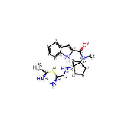 CCN(C(=O)c1cc2ccccc2[nH]1)[C@@]12CCC[C@]1(NCC(=N)SC(C)=N)C2